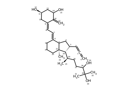 C=C=CC1CC2/C(=C/C=C3/C[C@@H](O)CC(O)C3=C)CCC[C@]2(C)[C@H]1[C@H](C)CCC(O)C(C)(C)O